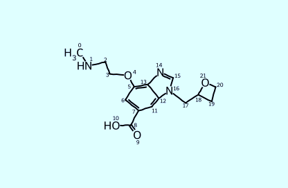 CNCCOc1cc(C(=O)O)cc2c1ncn2CC1CCO1